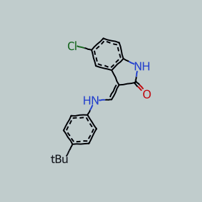 CC(C)(C)c1ccc(N/C=C2/C(=O)Nc3ccc(Cl)cc32)cc1